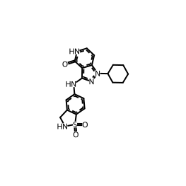 O=c1[nH]ccc2c1c(Nc1ccc3c(c1)CNS3(=O)=O)nn2C1CCCCC1